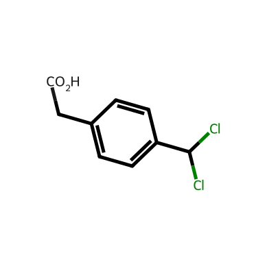 O=C(O)Cc1ccc(C(Cl)Cl)cc1